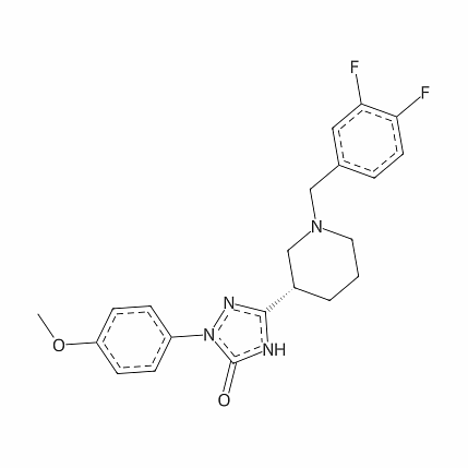 COc1ccc(-n2nc([C@H]3CCCN(Cc4ccc(F)c(F)c4)C3)[nH]c2=O)cc1